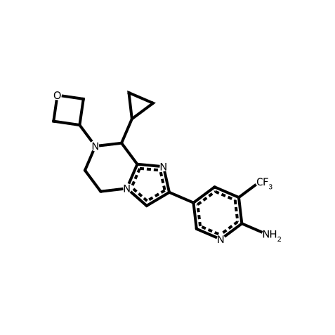 Nc1ncc(-c2cn3c(n2)C(C2CC2)N(C2COC2)CC3)cc1C(F)(F)F